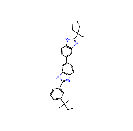 CCC(C)(C)c1cccc(-c2nc3ccc(-c4ccc5[nH]c(C(C)(CC)CC)nc5c4)cc3[nH]2)c1